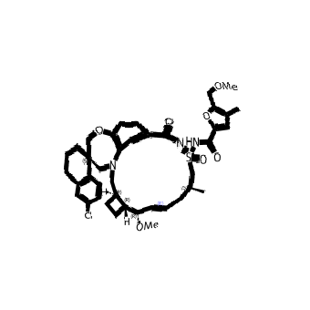 COCc1oc(C(=O)NS2(=O)=NC(=O)c3ccc4c(c3)N(C[C@@H]3CC[C@H]3[C@@H](OC)/C=C/C[C@H](C)C2)C[C@@]2(CCCc3cc(Cl)ccc32)CO4)cc1C